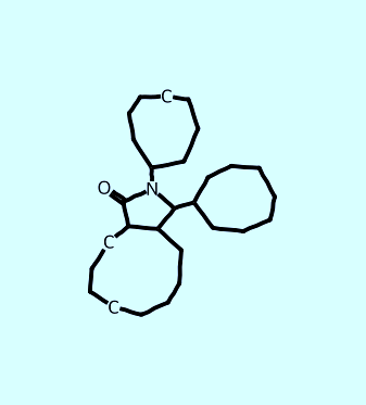 O=C1C2CCCCCCCCC2C(C2CCCCCCC2)N1C1CCCCCCC1